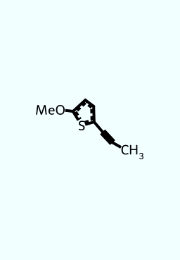 CC#Cc1ccc(OC)s1